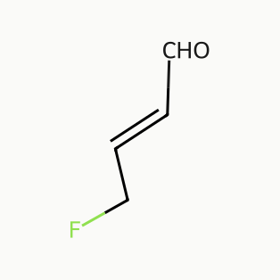 O=CC=CCF